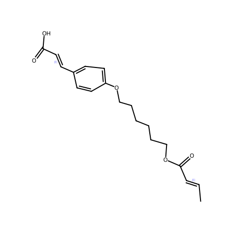 C/C=C/C(=O)OCCCCCCOc1ccc(/C=C/C(=O)O)cc1